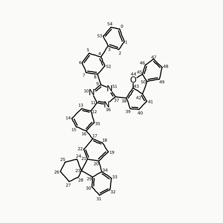 c1ccc(-c2cccc(-c3nc(-c4cccc(-c5ccc6c(c5)C5(CCCCC5)c5ccccc5-6)c4)nc(-c4cccc5c4oc4ccccc45)n3)c2)cc1